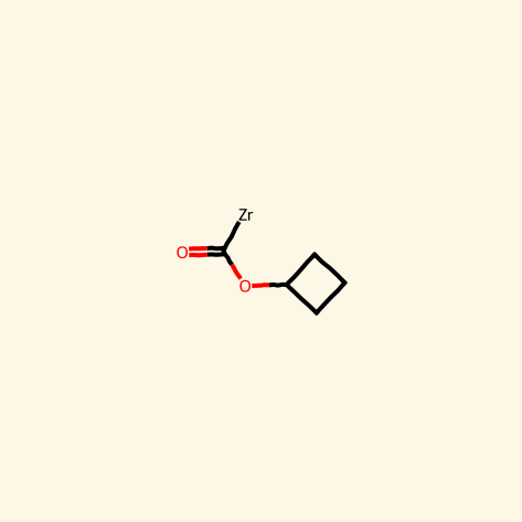 O=[C]([Zr])OC1CCC1